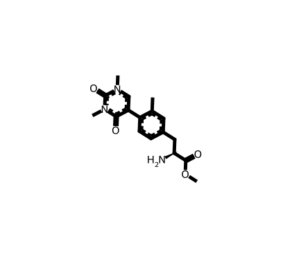 COC(=O)[C@@H](N)Cc1ccc(-c2cn(C)c(=O)n(C)c2=O)c(C)c1